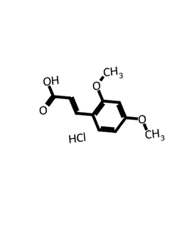 COc1ccc(C=CC(=O)O)c(OC)c1.Cl